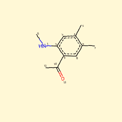 CNc1cc(C)c(C)cc1C(C)=O